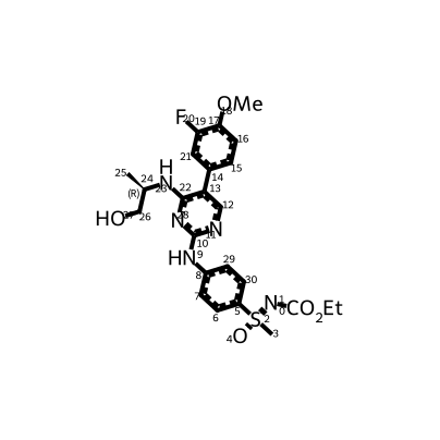 CCOC(=O)N=S(C)(=O)c1ccc(Nc2ncc(-c3ccc(OC)c(F)c3)c(N[C@H](C)CO)n2)cc1